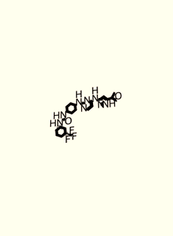 O=C(N[C@@H]1CCC[C@H](C(F)(F)F)C1)N[C@H]1CC[C@H](Nc2nccc(Nc3cc(C4COC4)[nH]n3)n2)CC1